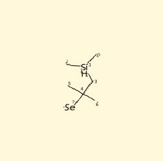 C[SiH](C)CC(C)(C)[Se]